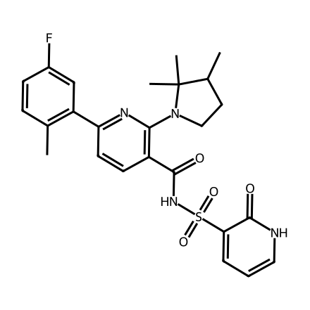 Cc1ccc(F)cc1-c1ccc(C(=O)NS(=O)(=O)c2ccc[nH]c2=O)c(N2CCC(C)C2(C)C)n1